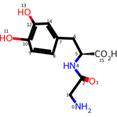 NCC(=O)N[C@@H](Cc1ccc(O)c(O)c1)C(=O)O